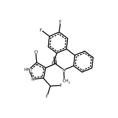 CN(C(=O)c1c(C(F)F)n[nH]c1Cl)c1ccccc1-c1cc(F)c(F)cc1F